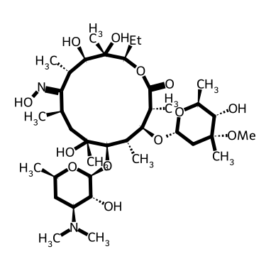 CC[C@H]1OC(=O)[C@H](C)[C@@H](O[C@H]2C[C@@](C)(OC)[C@@H](O)[C@H](C)O2)[C@H](C)[C@@H](O[C@@H]2O[C@H](C)C[C@H](N(C)C)[C@H]2O)[C@](C)(O)C[C@@H](C)/C(=N\O)[C@H](C)[C@@H](O)[C@]1(C)O